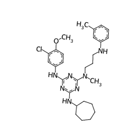 COc1ccc(Nc2nc(NC3CCCCCC3)nc(N(C)CCCNc3cccc(C)c3)n2)cc1Cl